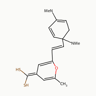 CNC1=CCC(C=CC2=CC(=C(S)S)C=C(C)O2)(NC)C=C1